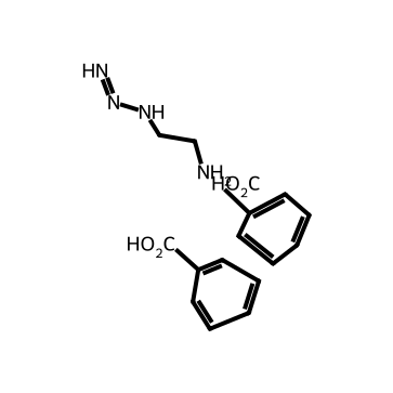 N=NNCCN.O=C(O)c1ccccc1.O=C(O)c1ccccc1